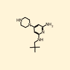 CC(C)(C)CNc1cc(N2CCNCC2)cc(N)n1